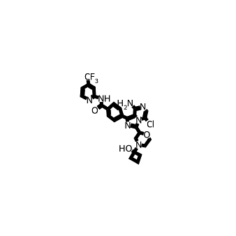 Nc1ncc(Cl)n2c(C3CN(C4(O)CCC4)CCO3)nc(-c3ccc(C(=O)Nc4cc(C(F)(F)F)ccn4)cc3)c12